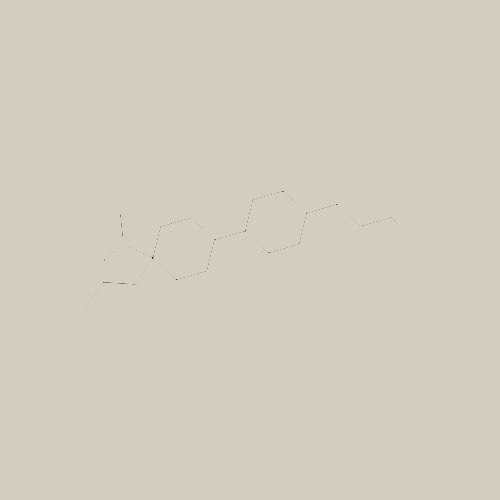 CCCCC1CCC(C2CCC(CCC)([S+](C)[O-])CC2)CC1